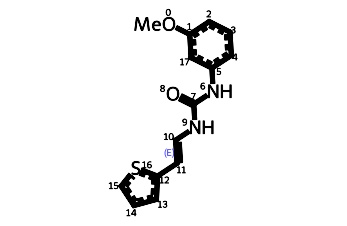 COc1cccc(NC(=O)N/C=C/c2cccs2)c1